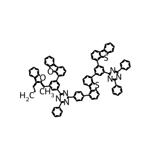 C=C/C=c1\c(=C(/C)c2cc(-c3nc(-c4ccccc4)nc(-c4ccc(-c5cccc6sc7c(-c8cc(-c9nc(-c%10ccccc%10)nc(-c%10ccccc%10)n9)cc(-c9cccc%10c9sc9ccccc9%10)c8)cccc7c56)cc4)n3)cc(-c3cccc4c3oc3ccccc34)c2)oc2ccccc12